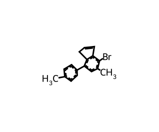 Cc1ccc(-c2cc(C)c(Br)c3c2CC=C3)cc1